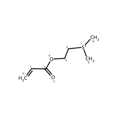 C=CC(=O)OCC[S+](C)C